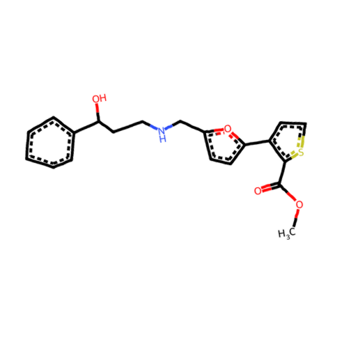 COC(=O)c1sccc1-c1ccc(CNCCC(O)c2ccccc2)o1